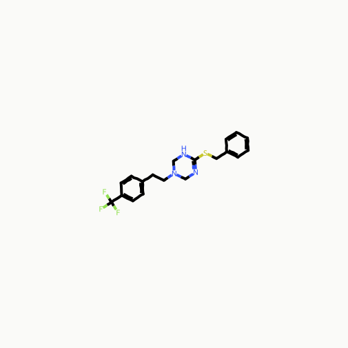 FC(F)(F)c1ccc(CCN2CN=C(SCc3ccccc3)NC2)cc1